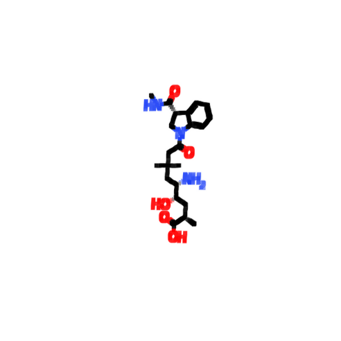 CNC(=O)[C@H]1CN(C(=O)CC(C)(C)C[C@H](N)[C@@H](O)C[C@@H](C)C(=O)O)c2ccccc21